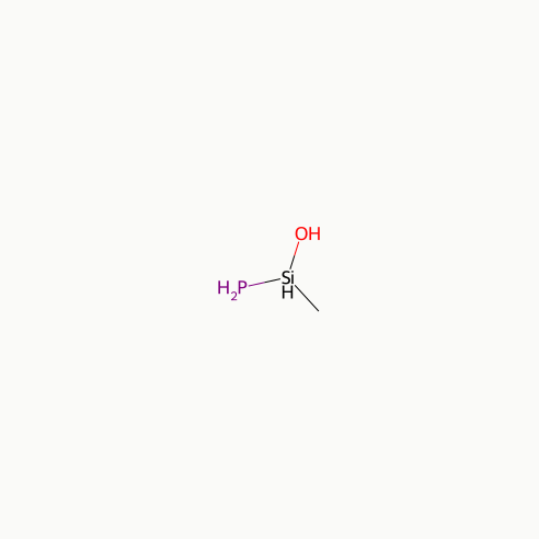 C[SiH](O)P